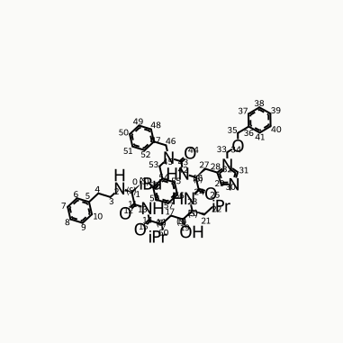 CC[C@H](C)[C@H](NCCc1ccccc1)C(=O)NC(=O)[C@@H](C[C@H](O)[C@H](CC(C)C)NC(=O)[C@H](Cc1cncn1COCc1ccccc1)NC(=O)N(Cc1ccccc1)Cc1ccccc1)C(C)C